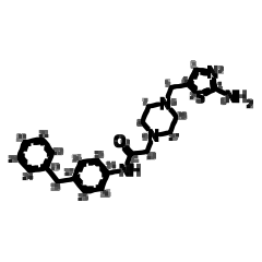 Nc1ncc(CN2CCN(CC(=O)Nc3ccc(Cc4ccccc4)cc3)CC2)s1